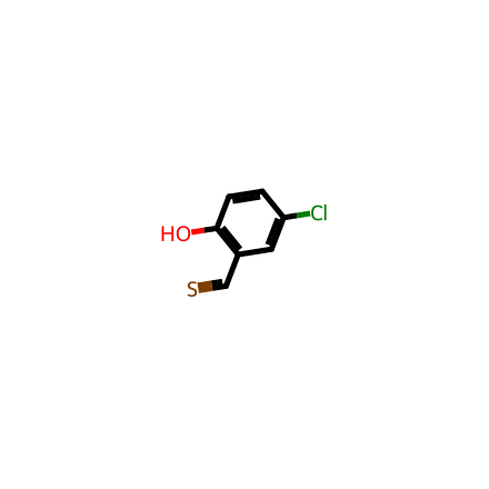 Oc1ccc(Cl)cc1C=S